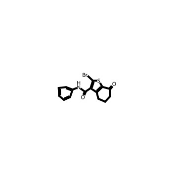 O=C1CCCc2c1sc(Br)c2C(=O)Nc1ccccc1